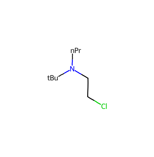 CCCN(CCCl)C(C)(C)C